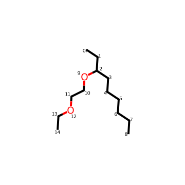 [CH2]CC(CCCCCC)OCCOCC